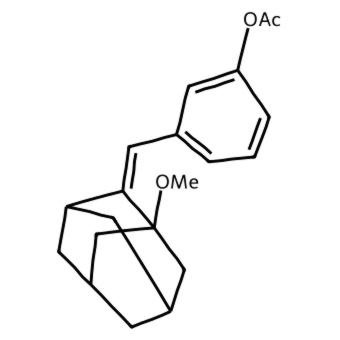 COC12CC3CC(CC(C3)C1=Cc1cccc(OC(C)=O)c1)C2